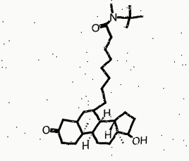 CN(C(=O)CCCCCCCC1CC2CC(=O)CC[C@]2(C)[C@@H]2CC[C@]3(C)C(O)CC[C@H]3[C@H]12)C(C)(C)C